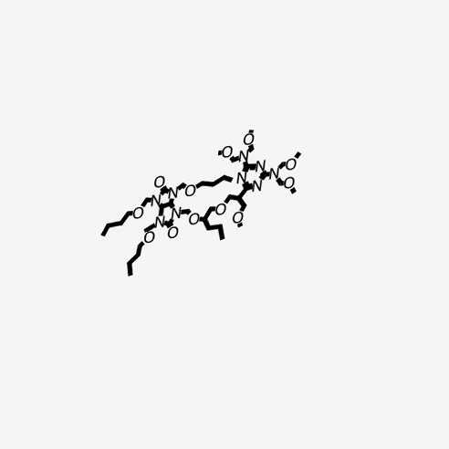 CCCCOCN1C(=O)N(COCCCC)C2C1N(COCCCC)C(=O)N2COC(CCC)COCC(COC)c1nc(N(COC)COC)nc(N(COC)COC)n1